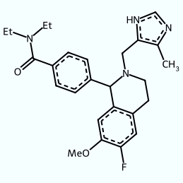 CCN(CC)C(=O)c1ccc(C2c3cc(OC)c(F)cc3CCN2Cc2[nH]cnc2C)cc1